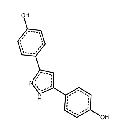 Oc1ccc(-c2cc(-c3ccc(O)cc3)[nH]n2)cc1